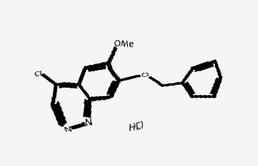 COc1cc2c(Cl)cnnc2cc1OCc1ccccc1.Cl